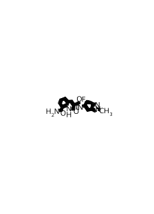 Cn1cc2cc(NC(=O)c3cc4cccc(C(N)=O)c4[nH]c3=O)c(F)cc2n1